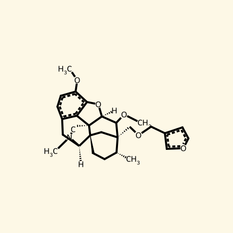 COc1ccc2c3c1O[C@H]1C(OC)[C@]4(COCc5ccoc5)C[C@]5(CC[C@H]4C)[C@@H](C2)N(C)CC[C@]315